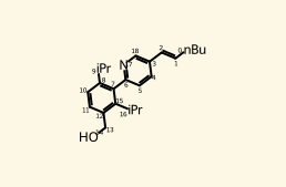 CCCCC=Cc1ccc(-c2c(C(C)C)ccc(CO)c2C(C)C)nc1